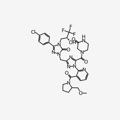 COCC1CCCN1C(=O)c1cccnc1-n1nc(Cn2nc(-c3ccc(Cl)cc3)n(C[C@H](O)C(F)(F)F)c2=O)nc1C(=O)N1CCNC(=O)C1